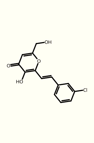 O=c1cc(CO)oc(C=Cc2cccc(Cl)c2)c1O